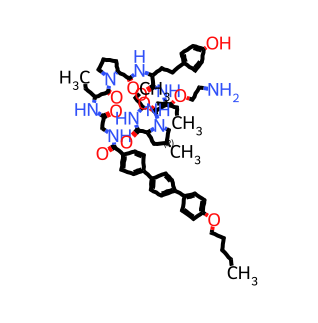 CCCCCOc1ccc(-c2ccc(-c3ccc(C(=O)NCC(=O)NC(CC)C(=O)N4CCCC4C(=O)NC(CCc4ccc(O)cc4)C(=O)NC(CC)C(=O)N4C[C@H](C)CC4C(=O)NC(CC)NCCOCCN)cc3)cc2)cc1